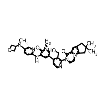 CN(c1ccc(Nc2cc(-c3ccnc(-n4ccn5c6c(cc5c4=O)CC(C)(C)C6)c3CO)cn(C)c2=O)nc1)C1COC1